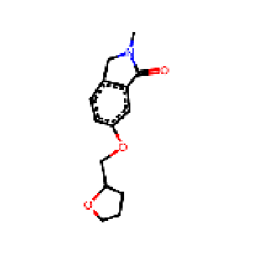 CN1Cc2ccc(OCC3CCCO3)cc2C1=O